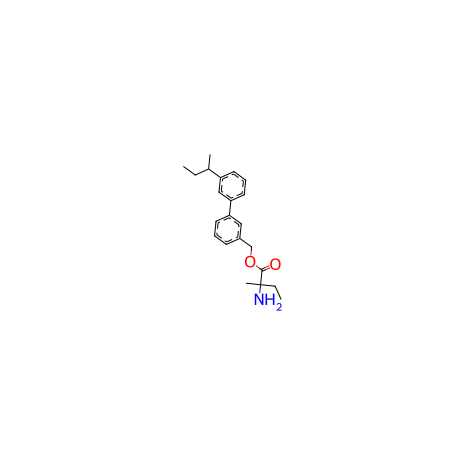 CCC(C)c1cccc(-c2cccc(COC(=O)C(C)(N)CC)c2)c1